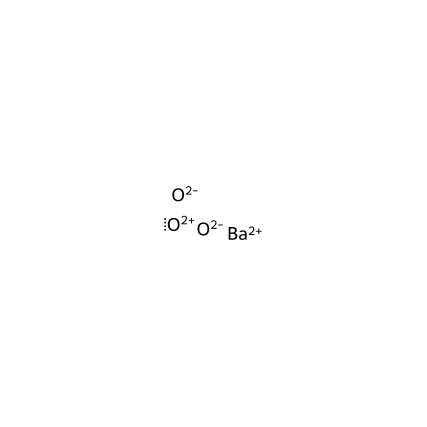 [Ba+2].[O+2].[O-2].[O-2]